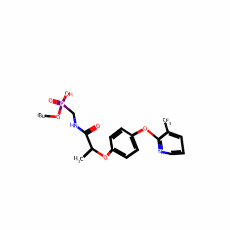 CCC(C)OP(=O)(O)CNC(=O)C(C)Oc1ccc(Oc2ncccc2C(F)(F)F)cc1